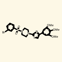 COc1cc(-c2csc(N3CCN(S(=O)(=O)c4cccc(Br)c4)CC3)n2)cc(OC)c1OC